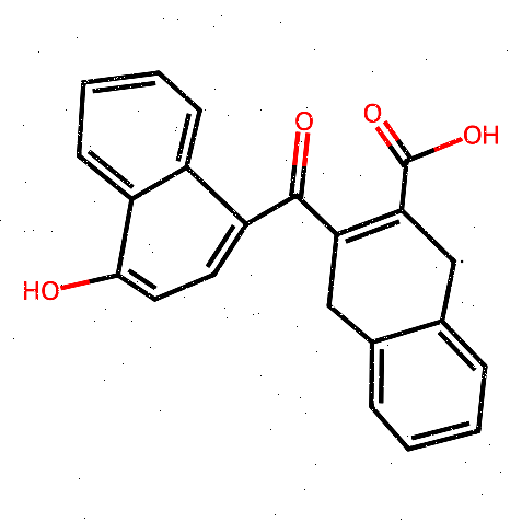 O=C(O)C1=C(C(=O)c2ccc(O)c3ccccc23)Cc2ccccc2[CH]1